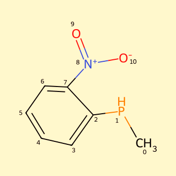 CPc1ccccc1[N+](=O)[O-]